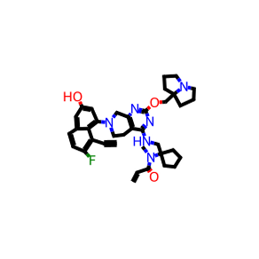 C#Cc1c(F)ccc2cc(O)cc(N3CCc4c(nc(OCC56CCCN5CCC6)nc4NCC4(N(C)C(=O)C=C)CCCC4)C3)c12